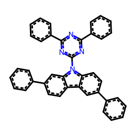 c1ccc(-c2ccc3c(c2)c2ccc(-c4ccccc4)cc2n3-c2nc(-c3ccccc3)nc(-c3ccccc3)n2)cc1